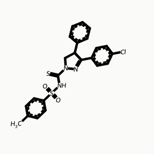 Cc1ccc(S(=O)(=O)NC(=S)N2CC(c3ccccc3)C(c3ccc(Cl)cc3)=N2)cc1